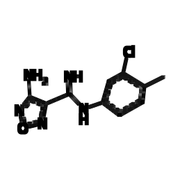 Cc1ccc(NC(=N)c2nonc2N)cc1Cl